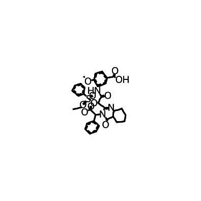 CCOC(=O)C(c1ccccc1)N1C(=O)C2CCCCC2N=C1C(OS(=O)(=O)c1ccccc1)C(=O)Nc1cc(C(=O)O)ccc1OC